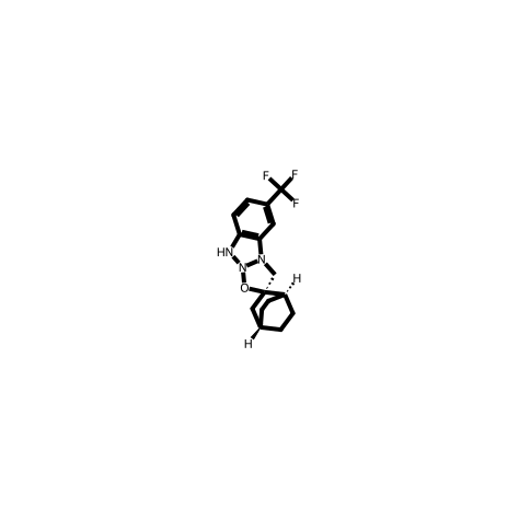 FC(F)(F)c1ccc2c(c1)N1C[C@]3(C[C@H]4CC[C@H]3CC4)ON1N2